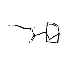 CCCNC(=O)C12C=CC(CC1)C2